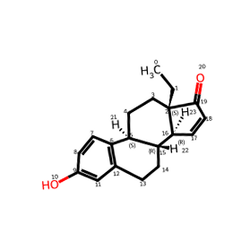 CC[C@]12CC[C@@H]3c4ccc(O)cc4CC[C@H]3[C@@H]1C=CC2=O